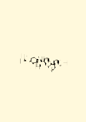 COc1ccnc(C[S+]([O-])c2nc3c(C)c(OC(F)F)c(C)cc3[nH]2)c1C